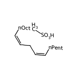 CCCCC/C=C\C/C=C\CCCCCCCC.CS(=O)(=O)O